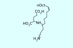 CCCCCCCC/C=C\CCCCCCCCN.NC(CCC(=O)O)C(=O)O